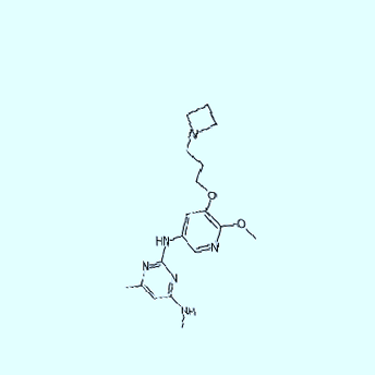 CNc1cc(C)nc(Nc2cnc(OC)c(OCCCN3CCC3)c2)n1